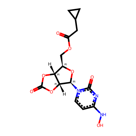 O=C(CC1CC1)OC[C@H]1O[C@@H](n2ccc(NO)nc2=O)[C@@H]2OC(=O)O[C@@H]21